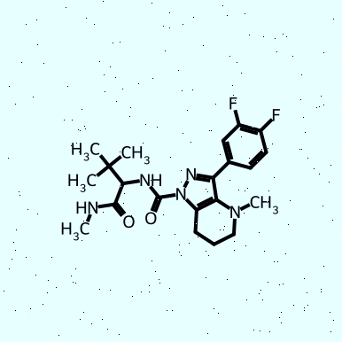 CNC(=O)C(NC(=O)n1nc(-c2ccc(F)c(F)c2)c2c1CCCN2C)C(C)(C)C